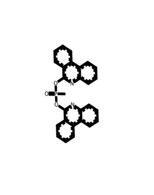 CP(=O)(Oc1nc2ccccc2c2ccccc12)Oc1nc2ccccc2c2ccccc12